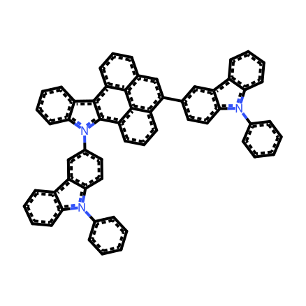 c1ccc(-n2c3ccccc3c3cc(-c4cc5cccc6c5c5c4cccc5c4c6c5ccccc5n4-c4ccc5c(c4)c4ccccc4n5-c4ccccc4)ccc32)cc1